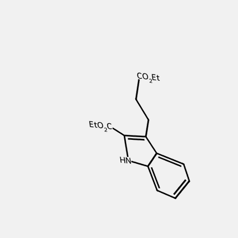 CCOC(=O)CCc1c(C(=O)OCC)[nH]c2ccccc12